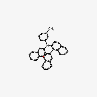 Cc1cccc(N(c2ccc3ccccc3c2)c2ccc3ccccc3c2-c2ccc3ccccc3c2)c1